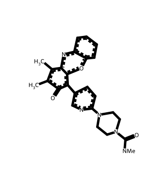 CNC(=O)N1CCN(c2ccc(-c3c4oc5ccccc5nc-4c(C)c(C)c3=O)cn2)CC1